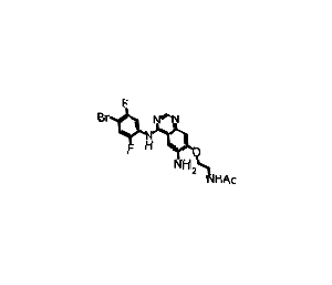 CC(=O)NCCOc1cc2ncnc(Nc3cc(F)c(Br)cc3F)c2cc1N